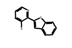 [Ir][c]1cccnc1-c1cc2ccccc2s1